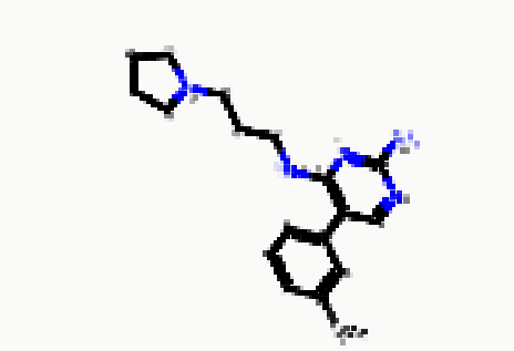 COc1cccc(-c2cnc(N)nc2NCCCN2CCCC2)c1